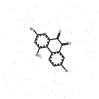 O=C1C(=O)c2cc(Br)cc([N+](=O)[O-])c2-c2ccc(Br)cc21